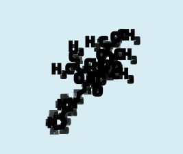 CC[C@@H](C)C(=O)[C@H](C)[C@H]1N(CCCCn2cnc(-c3cccnc3)c2)C(=O)O[C@]1(C)[C@@H](CC)OC(=O)[C@H](C)C(=O)[C@H](C)COC